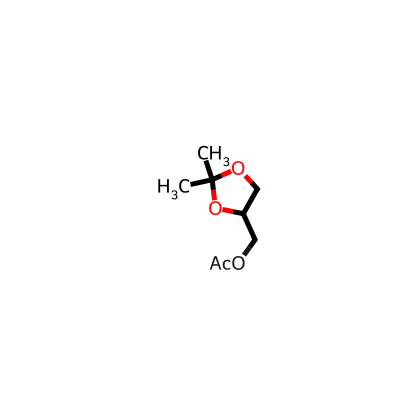 CC(=O)OCC1COC(C)(C)O1